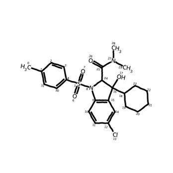 Cc1ccc(S(=O)(=O)N2c3ccc(Cl)cc3C(O)(C3CCCCC3)C2C(=O)N(C)C)cc1